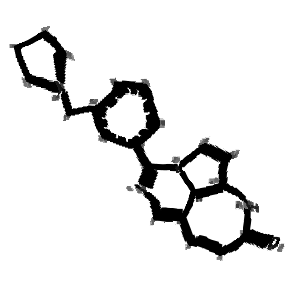 O=C1C=CC2=CN=C(c3cccc(CN4CCCC4)c3)N3CCC(=C23)N1